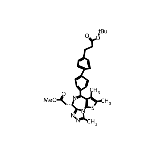 COC(=O)C[C@@H]1N=C(c2ccc(-c3ccc(CCC(=O)OC(C)(C)C)cc3)cc2)c2c(sc(C)c2C)-n2c(C)nnc21